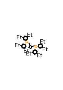 CCc1cc(CC)cc(P(CC2CCC2CP(c2cc(CC)cc(CC)c2)c2cc(CC)cc(CC)c2)c2cc(CC)cc(CC)c2)c1